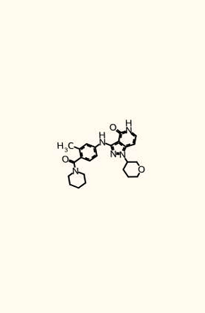 Cc1cc(Nc2nn(C3CCCOC3)c3cc[nH]c(=O)c23)ccc1C(=O)N1CCCCC1